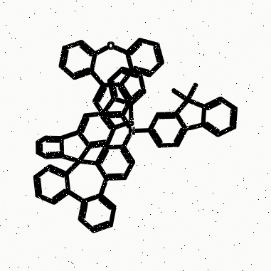 CC1(C)c2ccccc2-c2ccc(N(c3ccc4c(c3)-c3ccccc3Oc3ccccc3-4)c3ccc4c(c3)C3(c5ccccc5-c5ccccc5-4)c4ccccc4-c4cc5c(cc43)sc3ccccc35)cc21